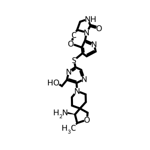 C[C@@H]1OCC2(CCN(c3ncc(Sc4ccnc5c4OCC4CNC(=O)N54)nc3CO)CC2)[C@@H]1N